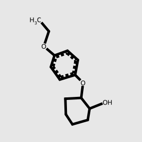 CCOc1ccc(OC2CCCCC2O)cc1